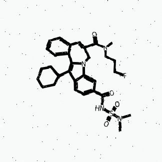 CN(CCCF)C(=O)C1=Cc2ccccc2-c2c(C3CCCCC3)c3ccc(C(=O)NS(=O)(=O)N(C)C)cc3n2C1